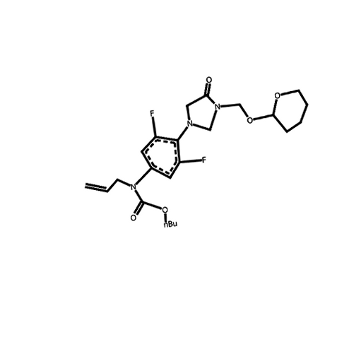 C=CCN(C(=O)OCCCC)c1cc(F)c(N2CC(=O)N(COC3CCCCO3)C2)c(F)c1